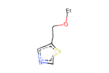 CCOCc1cncs1